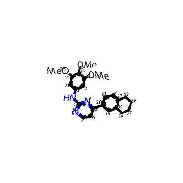 COc1cc(Nc2nccc(-c3ccc4c(c3)CCCC4)n2)cc(OC)c1OC